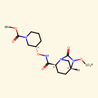 CC(C)(C)OC(=O)N1CCC[C@H](ONC(=O)[C@@H]2CC[C@@H]3CN2C(=O)N3OS(=O)(=O)O)C1